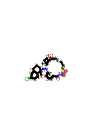 C[C@@]12CC[C@@H]1CN1C[C@@]3(CCCc4cc(Cl)ccc43)COc3ccc(cc31)C(=O)NS(=O)(=O)CCCCC[C@@H]2O